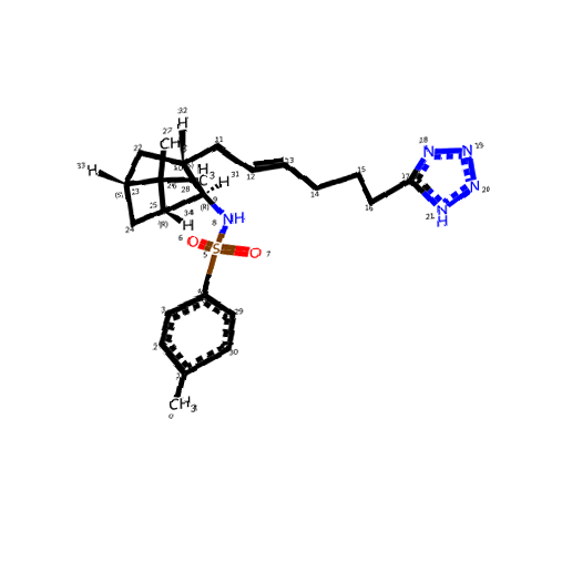 Cc1ccc(S(=O)(=O)N[C@@H]2[C@@H](CC=CCCCc3nnn[nH]3)C[C@H]3C[C@@H]2C3(C)C)cc1